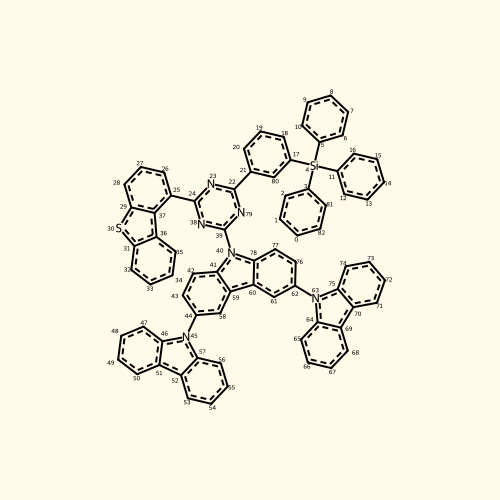 c1ccc([Si](c2ccccc2)(c2ccccc2)c2cccc(-c3nc(-c4cccc5sc6ccccc6c45)nc(-n4c5ccc(-n6c7ccccc7c7ccccc76)cc5c5cc(-n6c7ccccc7c7ccccc76)ccc54)n3)c2)cc1